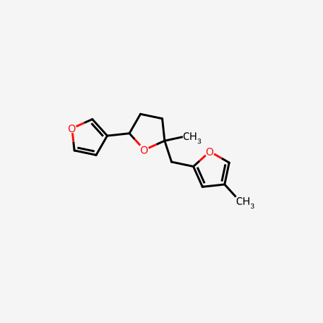 Cc1coc(CC2(C)CCC(c3ccoc3)O2)c1